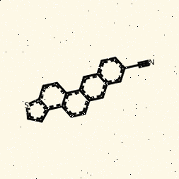 N#Cc1ccc2cc3c(ccc4c5ccsc5ccc34)cc2c1